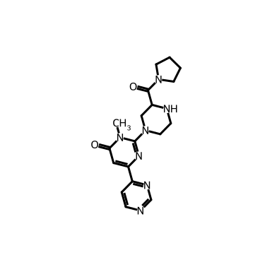 Cn1c(N2CCNC(C(=O)N3CCCC3)C2)nc(-c2ccncn2)cc1=O